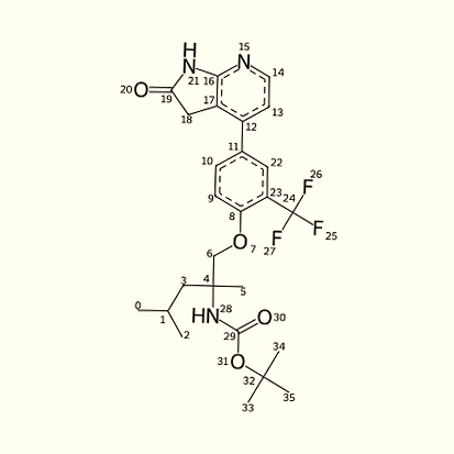 CC(C)CC(C)(COc1ccc(-c2ccnc3c2CC(=O)N3)cc1C(F)(F)F)NC(=O)OC(C)(C)C